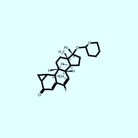 CC(=O)[C@@]1(OC2CCCCO2)CC[C@H]2[C@@H]3C=C(F)C4=CC(=O)C5CC5[C@@]4(C)[C@@H]3CC[C@@]21C